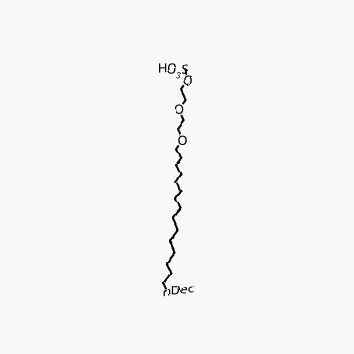 CCCCCCCCCCCCCCCCCCCCCCCCCOCCOCCOS(=O)(=O)O